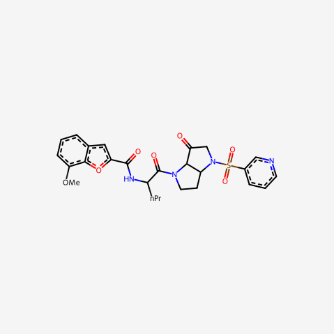 CCCC(NC(=O)c1cc2cccc(OC)c2o1)C(=O)N1CCC2C1C(=O)CN2S(=O)(=O)c1cccnc1